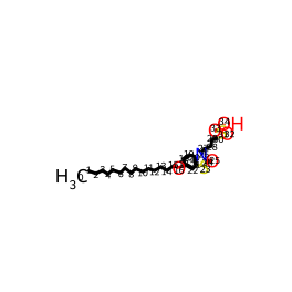 CCCCCCCCCCCCCCCCOc1ccc2c(c1)sc(=O)n2CCCCS(=O)(=O)O